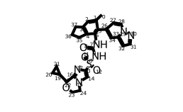 Cc1cc2c(c(NC(=O)NS(=O)(=O)c3cn4c(n3)C(C3CC3)OCC4)c1-c1ccn3nccc3c1)CCC2